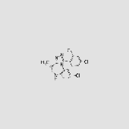 C[C@H]1CNc2ccc(Cl)cc2-n2c(-c3ccc(Cl)cc3Cl)nnc21